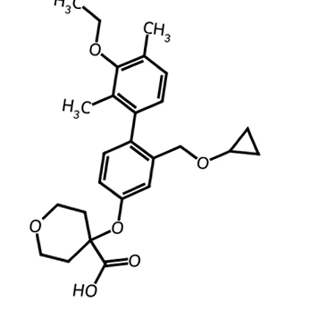 CCOc1c(C)ccc(-c2ccc(OC3(C(=O)O)CCOCC3)cc2COC2CC2)c1C